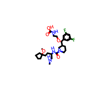 CNCC(CCC1(OC)CCCC1)NC(=O)N1CCCC(C(OCCNC(=O)O)c2cc(F)cc(F)c2)C1